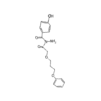 NN(C(=O)COCCCOc1ccccc1)C(=O)c1ccc(O)cc1